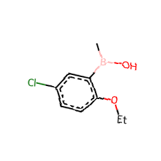 CCOc1ccc(Cl)cc1B(C)O